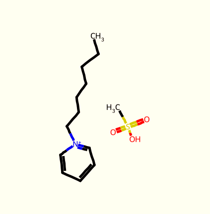 CCCCCCC[n+]1ccccc1.CS(=O)(=O)O